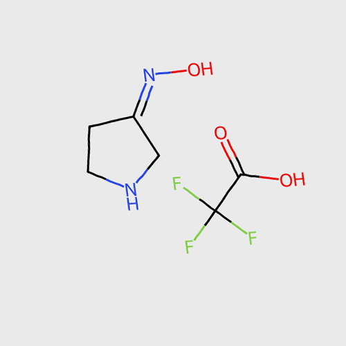 O=C(O)C(F)(F)F.ON=C1CCNC1